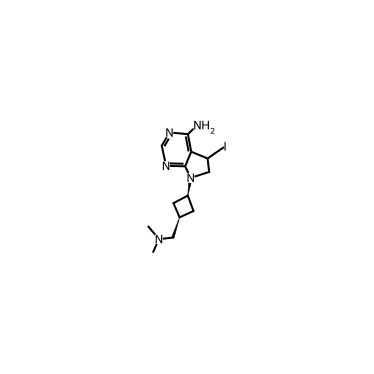 CN(C)C[C@H]1C[C@@H](N2CC(I)c3c(N)ncnc32)C1